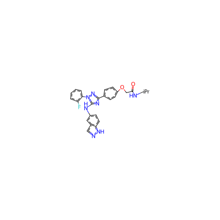 CC(C)NC(=O)COc1ccc(-c2nc(Nc3ccc4[nH]ncc4c3)n(-c3ccccc3F)n2)cc1